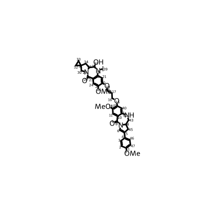 COc1ccc(C2=CN3C(=O)c4cc(OC)c(OCCCOc5cc6c(cc5OC)C(=O)N5CC7(CC7)CC5C(O)N6I)cc4NCC3C2)cc1